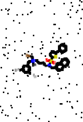 CC[N+](CBr)(CCCCN(Cc1ccc2ccccc2c1)S(=O)(=O)C1CC=C(c2ccccc2)S1)Cc1cc(C)cc(C)c1